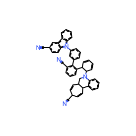 N#Cc1ccc2c(c1)c1ccccc1n2-c1cccc(-c2c(C#N)cccc2C2C=CC=CC2N2CC3C=CC(C#N)C=CC3c3ccccc32)c1